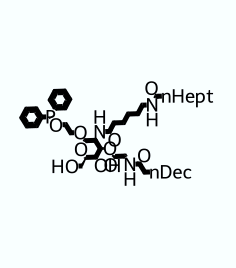 CCCCCCCCCCCC(=O)NCC(=O)O[C@H]1[C@H](O)[C@@H](CO)O[C@H](OCCOP(c2ccccc2)c2ccccc2)[C@H]1NC(=O)CCCCCNC(=O)CCCCCCC